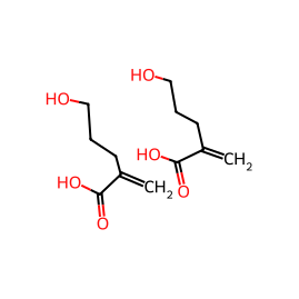 C=C(CCCO)C(=O)O.C=C(CCCO)C(=O)O